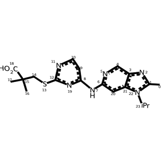 Cc1nc2cnc(Nc3ccnc(SCC(C)(C)C(=O)O)n3)cc2n1C(C)C